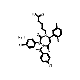 Cc1ccc(C)c(C2=CC(=O)N([C@H](C)c3ccc(Cl)cc3)[C@@H](c3ccc(Cl)cc3)C(=O)N2CCCCC(=O)O)c1.[NaH]